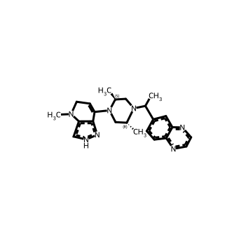 CC(c1ccc2nccnc2c1)N1C[C@H](C)N(C2=CCN(C)c3c[nH]nc32)C[C@H]1C